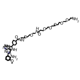 COc1cccc(/C=C/C2=C(C(/N)=N\N)NC(C3CCC(C(=O)NCCOCCOCCNC(=O)CCOCCOCCOCCOCCOCCN)CC3)N2)c1N